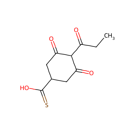 CCC(=O)C1C(=O)CC(C(O)=S)CC1=O